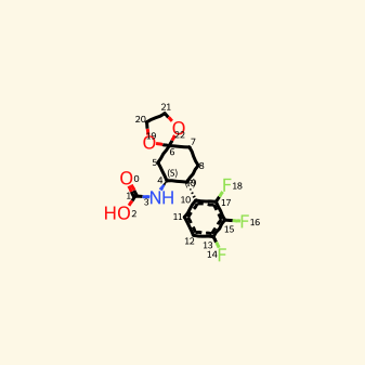 O=C(O)N[C@H]1CC2(CC[C@@H]1c1ccc(F)c(F)c1F)OCCO2